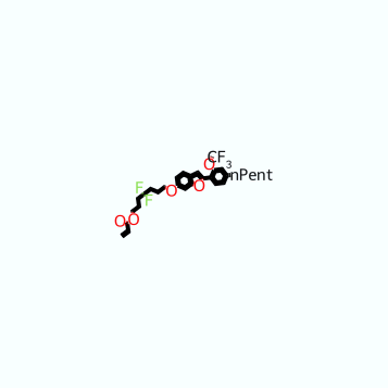 C=CC(=O)OCCCC(F)(F)CCCOc1ccc2cc(-c3ccc(CCCCC)cc3OC(F)(F)F)oc2c1